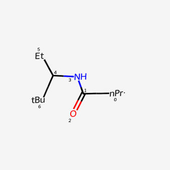 CC[CH]C(=O)NC(CC)C(C)(C)C